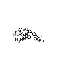 CCC[C@@H](CO)Nc1nc(N)nc2c3ccccc3n(Cc3cc(C4=CCC(NC(=O)OC(C)(C)C)CC4)ccc3OC)c12